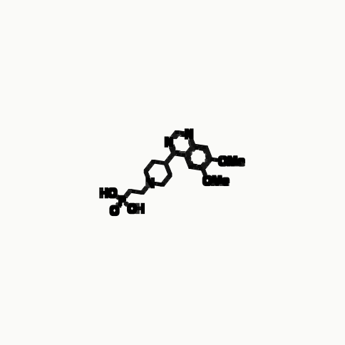 COc1cc2ncnc(C3CCN(CCP(=O)(O)O)CC3)c2cc1OC